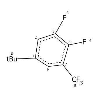 CC(C)(C)c1cc(F)c(F)c(C(F)(F)F)c1